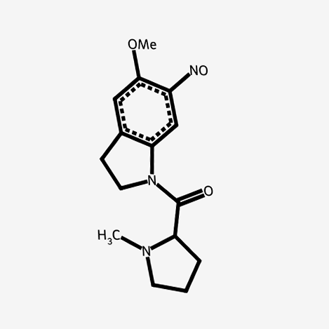 COc1cc2c(cc1N=O)N(C(=O)C1CCCN1C)CC2